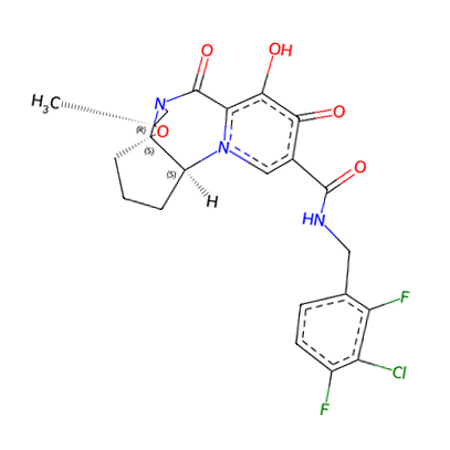 C[C@@H]1CN2C(=O)c3c(O)c(=O)c(C(=O)NCc4ccc(F)c(Cl)c4F)cn3[C@H]3CCC[C@]32O1